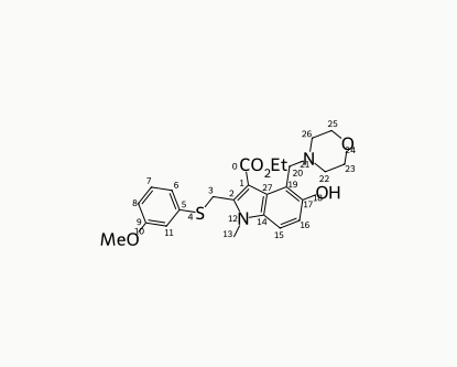 CCOC(=O)c1c(CSc2cccc(OC)c2)n(C)c2ccc(O)c(CN3CCOCC3)c12